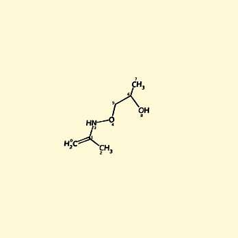 C=C(C)NOCC(C)O